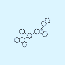 CC1c2ccc(-c3ccc4c(c3)c3ccccc3n4-c3ccc4ccccc4c3)cc2-c2ccccc2C1c1ccccc1-c1ccccc1